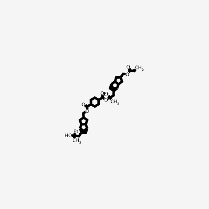 C=CC(=O)OCC1CC2C3CC(CC(C)(CC)OC(=O)C4CCC(C(=O)OCC5CC6C7CC(CC(C)(O)CC)C(C7)C6C5)CC4)C(C3)C2C1